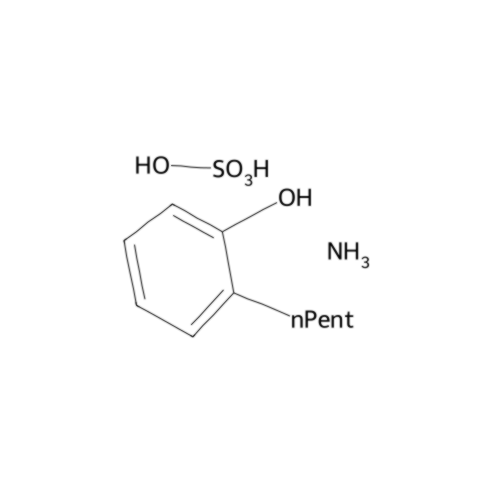 CCCCCc1ccccc1O.N.O=S(=O)(O)O